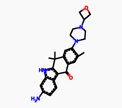 Cc1cc2c(cc1N1CCN(C3COC3)CC1)C(C)(C)c1[nH]c3cc(N)ccc3c1C2=O